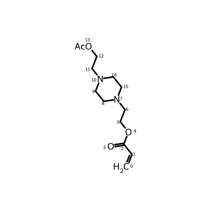 C=CC(=O)OCCN1CCN(CCOC(C)=O)CC1